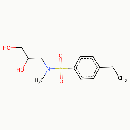 CCc1ccc(S(=O)(=O)N(C)CC(O)CO)cc1